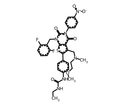 CCNC(=O)Nc1ccc(-c2sc3c(c2CN(C)CCOC)c(=O)n(-c2ccc([N+](=O)[O-])cc2)c(=O)n3Cc2c(F)cccc2F)cc1